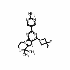 CC1(C)OCCn2c1nc1c(N3CC(F)(F)C3)nc(-c3cnc(N)nc3)nc12